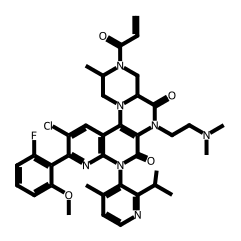 C=CC(=O)N1CC2C(=O)N(CCN(C)C)c3c(c4cc(Cl)c(-c5c(F)cccc5OC)nc4n(-c4c(C)ccnc4C(C)C)c3=O)N2CC1C